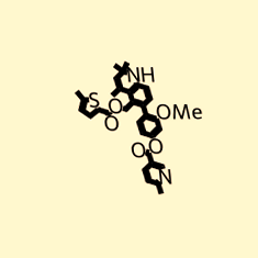 COc1cc(OC(=O)c2ccc(C)nc2)ccc1-c1ccc2c(c1COC(=O)C1CC=C(C)S1)C(C)=CC(C)(C)N2